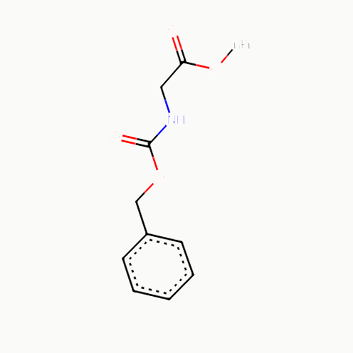 CCCOC(=O)CNC(=O)OCc1ccccc1